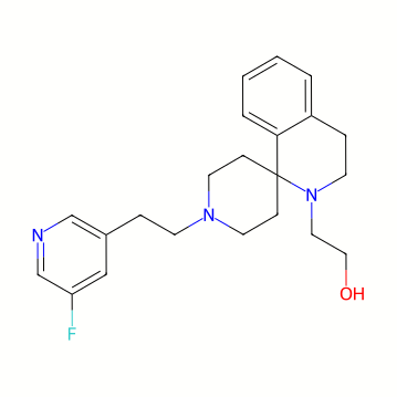 OCCN1CCc2ccccc2C12CCN(CCc1cncc(F)c1)CC2